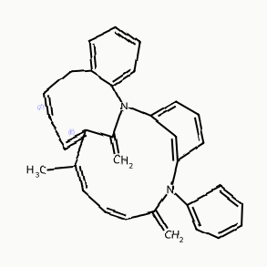 C=c1cccc(C)\c2c(=C)n(c3cccc(c3)n1-c1ccccc1)-c1ccccc1C/C=C\C=2